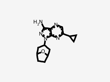 Nc1nn(C2CC3CCC(C2)O3)c2nc(C3CC3)cnc12